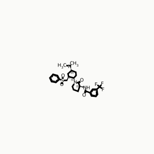 CN(C)[C@@H]1CC[C@H](N2CCC[C@H](NC(=O)c3cccc(C(F)(F)F)c3)C2=O)[C@@H](CS(=O)(=O)c2ccccc2)C1